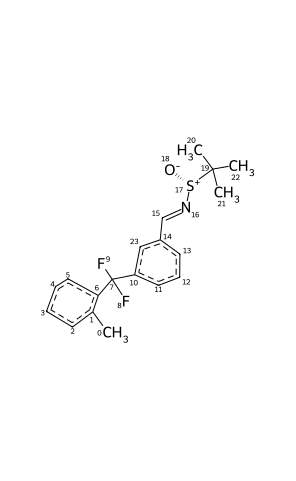 Cc1ccccc1C(F)(F)c1cccc(C=N[S@+]([O-])C(C)(C)C)c1